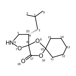 CC(C)C[C@H]1CNOC12OC1(CCCCC1)OC2=O